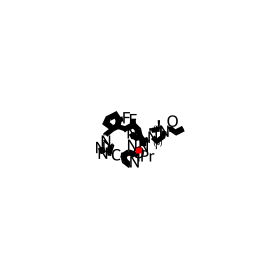 C=CC(=O)N1C[C@H](C)N(c2nc(=O)n3c4nc(c(F)cc24)-c2c(F)cccc2Cn2cc(nn2)Cc2ccnc(C(C)C)c2-3)C[C@H]1C